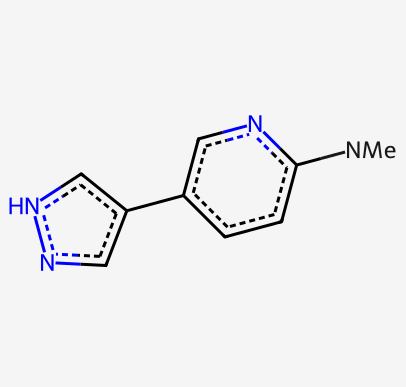 CNc1ccc(-c2cn[nH]c2)cn1